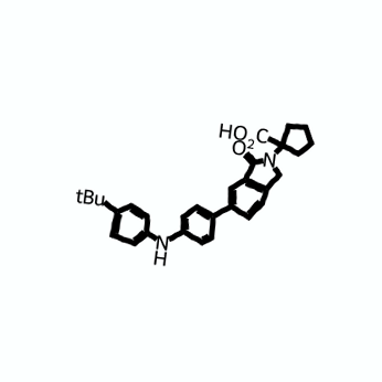 CC(C)(C)c1ccc(Nc2ccc(-c3ccc4c(c3)C(=O)N(C3(C(=O)O)CCCC3)C4)cc2)cc1